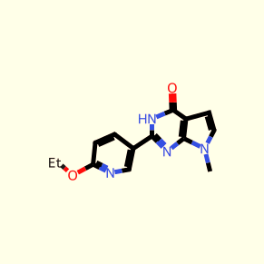 CCOc1ccc(-c2nc3c(ccn3C)c(=O)[nH]2)cn1